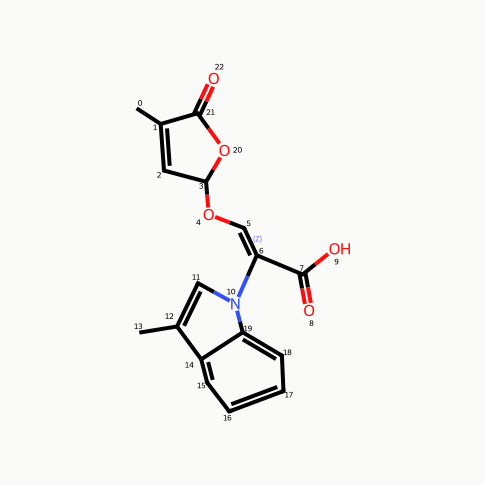 CC1=CC(O/C=C(/C(=O)O)n2cc(C)c3ccccc32)OC1=O